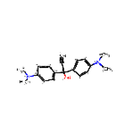 C#CC(O)(c1ccc(N(C)C)cc1)c1ccc(N(C)C)cc1